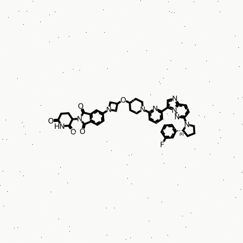 O=C1CCC(N2C(=O)c3ccc(N4CC(OC5CCN(c6cccc(-c7cnc8ccc(N9CCC[C@@H]9c9cccc(F)c9)nn78)n6)CC5)C4)cc3C2=O)C(=O)N1